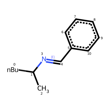 CCCCC(C)/N=C/c1ccccc1